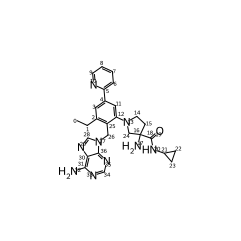 CCc1cc(-c2ccccn2)cc(N2CCC(N)(C(=O)NC3CC3)C2)c1Cn1cnc2c(N)ncnc21